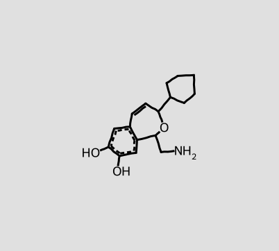 NCC1OC(C2CCCCC2)C=Cc2cc(O)c(O)cc21